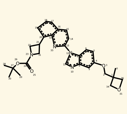 CC1(COc2ccc3c(c2)ncn3-c2ccc3cccc(C4CN(C(=O)OC(C)(C)C)C4)c3n2)COC1